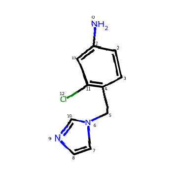 Nc1ccc(Cn2ccnc2)c(Cl)c1